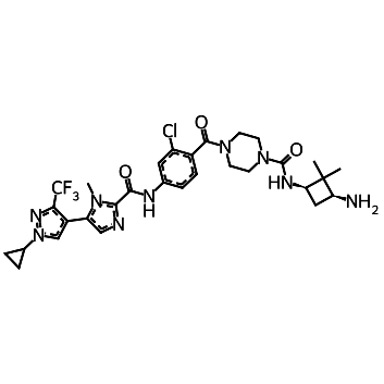 Cn1c(-c2cn(C3CC3)nc2C(F)(F)F)cnc1C(=O)Nc1ccc(C(=O)N2CCN(C(=O)N[C@@H]3C[C@H](N)C3(C)C)CC2)c(Cl)c1